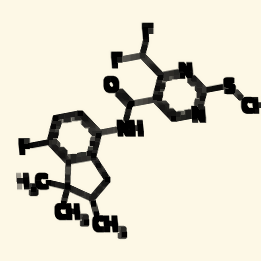 CSc1ncc(C(=O)Nc2ccc(F)c3c2CC(C)C3(C)C)c(C(F)F)n1